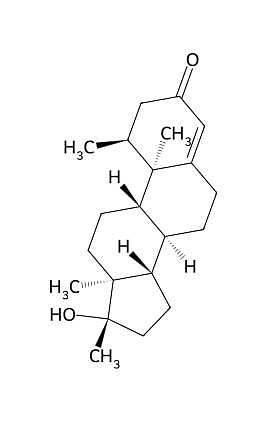 C[C@H]1CC(=O)C=C2CC[C@@H]3[C@H](CC[C@@]4(C)[C@H]3CC[C@]4(C)O)[C@]21C